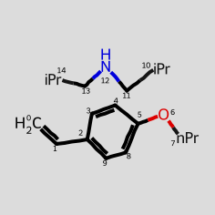 C=Cc1ccc(OCCC)cc1.CC(C)CNCC(C)C